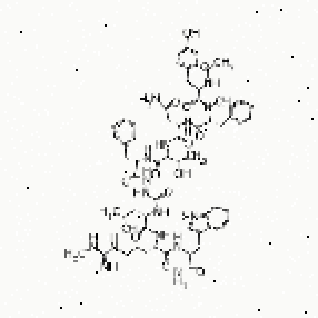 CNC(=N)NCCC[C@H](NC(=O)[C@H](CC(C)C)NC(=O)NNC(=O)[C@H](Cc1ccccc1)NC(=O)[C@@H](NC(=O)[C@H](CC(N)=O)NC(=O)[C@@H](Cc1ccccc1)N(C)C(=O)[C@@H](Cc1ccc(O)cc1)NC(C)=O)[C@@H](C)O)C(=O)N[C@@H](Cc1c[nH]c2ccccc12)C(N)=O